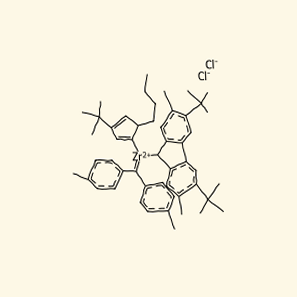 CCCCC1C=C(C(C)(C)C)C=[C]1[Zr+2](=[C](c1ccc(C)cc1)c1ccc(C)cc1)[CH]1c2cc(C)c(C(C)(C)C)cc2-c2cc(C(C)(C)C)c(C)cc21.[Cl-].[Cl-]